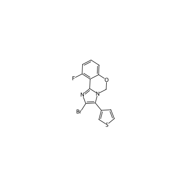 Fc1cccc2c1-c1nc(Br)c(-c3ccsc3)n1CO2